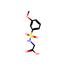 COc1cccc(S(=O)(=O)NCC(=O)O)c1